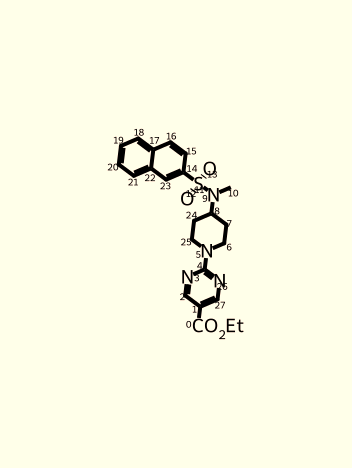 CCOC(=O)c1cnc(N2CCC(N(C)S(=O)(=O)c3ccc4ccccc4c3)CC2)nc1